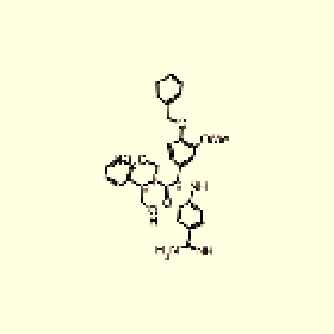 COc1cc([C@H](Nc2ccc(C(=N)N)cc2)C(=O)N(CC(=O)O)[C@@H](CO)c2ccccc2)ccc1OCc1ccccc1